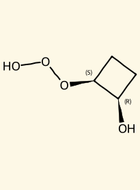 OOO[C@H]1CC[C@H]1O